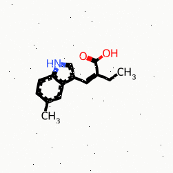 CCC(=Cc1c[nH]c2ccc(C)cc12)C(=O)O